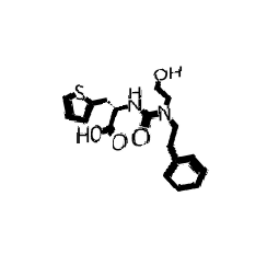 O=C(O)[C@H](Cc1cccs1)NC(=O)N(CCO)CCc1ccccc1